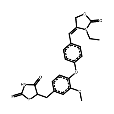 CCN1C(=O)OCC1=Cc1ccc(Oc2ccc(CC3SC(=S)NC3=O)cc2OC)cc1